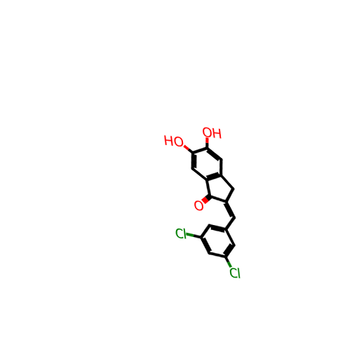 O=C1C(=Cc2cc(Cl)cc(Cl)c2)Cc2cc(O)c(O)cc21